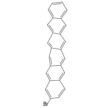 Brc1ccc2cc3cc4cc5cc6ccccc6cc5cc4cc3cc2c1